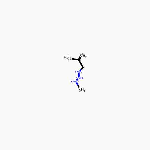 CNNNCC(C)C